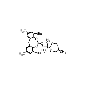 Cc1cc2c(c(C(C)(C)C)c1)OP(OCC(C)(C)C1OCC[C@@H](C)CO1)Oc1c(cc(C)cc1C(C)(C)C)C2